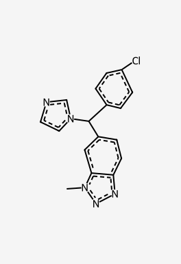 Cn1nnc2ccc(C(c3ccc(Cl)cc3)n3ccnc3)cc21